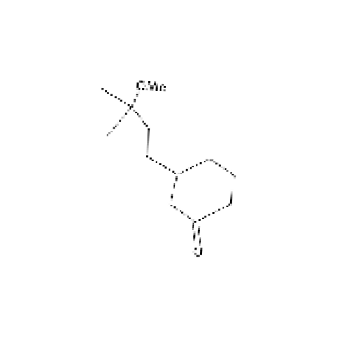 COC(C)(C)CCC1CCCC(=O)C1